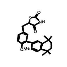 COc1ccc(CC2SC(=O)NC2=O)cc1-c1ccc2c(c1)C(C)(C)CCC2(C)C